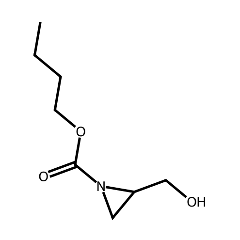 CCCCOC(=O)N1CC1CO